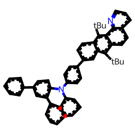 CC(C)(C)c1c2cc(-c3ccc(N(c4ccccc4)c4ccc(-c5ccccc5)cc4-c4ccccc4)cc3)ccc2c(C(C)(C)C)c2c1ccc1cccnc12